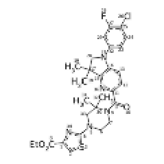 CCOC(=O)c1csc(N2CCN(C(=O)c3ccc4c(n3)C(C)(C)CN4c3ccc(Cl)c(F)c3)C(C)(C)C2)n1